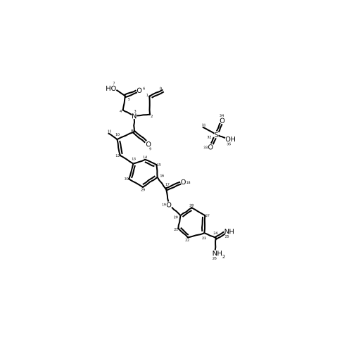 C=CCN(CC(=O)O)C(=O)C(C)=Cc1ccc(C(=O)Oc2ccc(C(=N)N)cc2)cc1.CS(=O)(=O)O